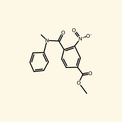 COC(=O)c1ccc(C(=O)N(C)c2ccccc2)c([N+](=O)[O-])c1